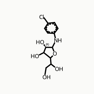 OCC(O)C1OC(Nc2ccc(Cl)cc2)[C@H](O)C1O